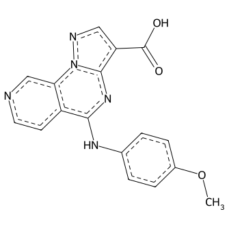 COc1ccc(Nc2nc3c(C(=O)O)cnn3c3cnccc23)cc1